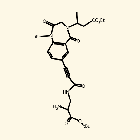 CCOC(=O)CC(C)N1CC(=O)N(C(C)C)c2ccc(C#CC(=O)NCC(N)C(=O)OC(C)(C)C)cc2C1=O